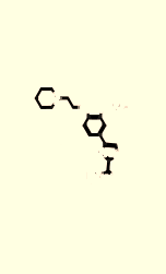 COc1cc(-c2csc(C(N)=O)n2)ccc1OCCN1CCCCC1.Cl